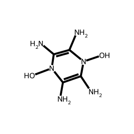 NC1=C(N)N(O)C(N)=C(N)N1O